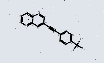 FC(F)(F)c1ccc(C#Cc2cnc3cccnc3c2)cc1